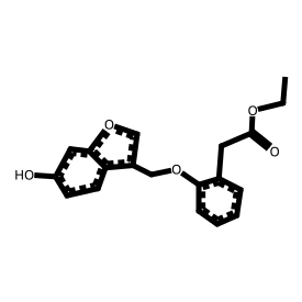 CCOC(=O)Cc1ccccc1OCc1coc2cc(O)ccc12